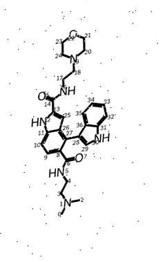 CN(C)CCNC(=O)c1ccc2[nH]c(C(=O)NCCN3CCOCC3)[c]c2c1-c1c[nH]c2ccccc12